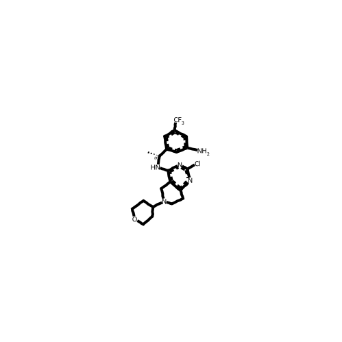 C[C@@H](Nc1nc(Cl)nc2c1CN(C1CCOCC1)CC2)c1cc(N)cc(C(F)(F)F)c1